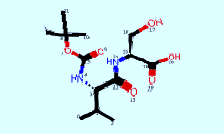 CC(C)[C@H](NC(=O)OC(C)(C)C)C(=O)N[C@@H](CO)C(=O)O